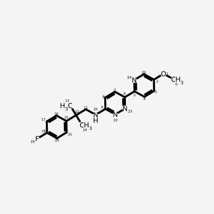 COc1ccc(-c2ccc(NCC(C)(C)c3ccc(F)cc3)nn2)nc1